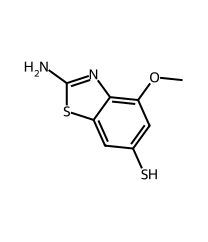 COc1cc(S)cc2sc(N)nc12